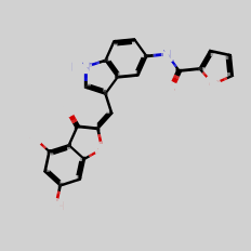 O=C(Nc1ccc2[nH]cc(/C=C3/Oc4cc(O)cc(O)c4C3=O)c2c1)c1ccco1